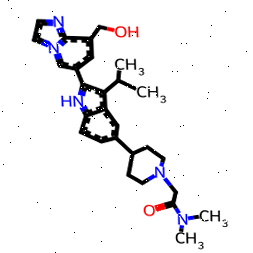 CC(C)c1c(-c2cc(CO)c3nccn3c2)[nH]c2ccc(C3CCN(CC(=O)N(C)C)CC3)cc12